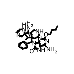 CCCCOc1nc(N)c2[nH]c(=O)n(C(c3ccccc3)C3(C(C)C4(C(N)=O)C=NC=CN4)CCNCC3)c2n1